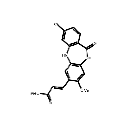 COC(=O)C=Cc1cc2c(cc1OC)NC(=O)c1ccc(Cl)cc1N2